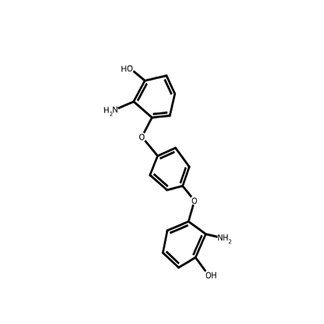 Nc1c(O)cccc1Oc1ccc(Oc2cccc(O)c2N)cc1